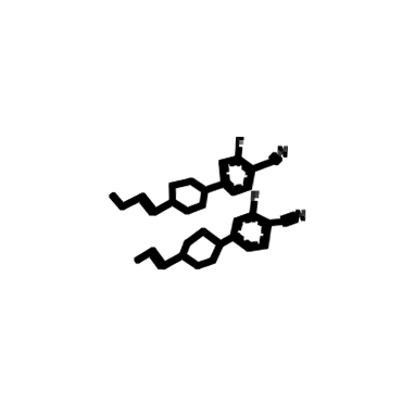 CC=CC1CCC(c2ccc(C#N)c(F)c2)CC1.CCC=CC1CCC(c2ccc(C#N)c(F)c2)CC1